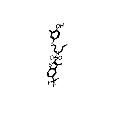 CCCN(CCSc1ccc(O)c(C)c1)S(=O)(=O)c1sc2ccc(C(F)(F)F)cc2c1C